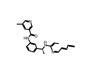 C=C/C=C/C=N\C(=C/C)N[C@@H](C)c1cccc(NC(=O)c2cncc(C)c2)c1